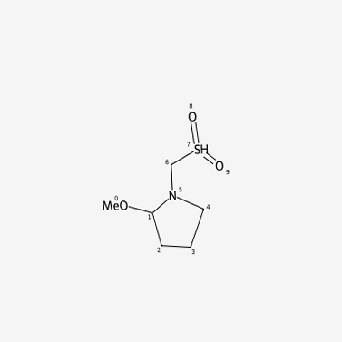 COC1CCCN1C[SH](=O)=O